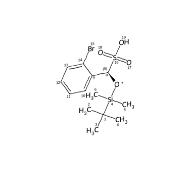 CC(C)(C)[Si](C)(C)O[C@@H](c1ccccc1Br)S(=O)(=O)O